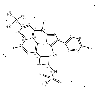 CCN(c1nc(-c2ccc(F)cc2)c(C#N)s1)c1cc(C(C)(C)O)nc2c(F)cc(N3CC(NS(C)(=O)=O)C3)cc12